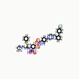 O=C(NS(=O)(=O)c1ccc(N[C@H](CCN2CCCC2)CSc2ccccc2)c([N+](=O)[O-])c1)c1ccc(N2CCN(Cc3ccccc3-c3ccc(Cl)cc3)CC2)cc1